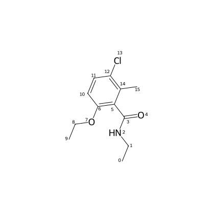 CCNC(=O)c1c(OCC)ccc(Cl)c1C